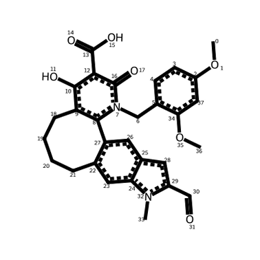 COc1ccc(Cn2c3c(c(O)c(C(=O)O)c2=O)CCCCc2cc4c(cc2-3)cc(C=O)n4C)c(OC)c1